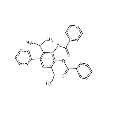 CCc1cc(-c2ccccc2)c(C(C)C)c(OC(=O)c2ccccc2)c1OC(=O)c1ccccc1